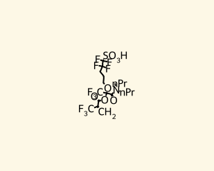 C=C(C(=O)OC(OCCCC(F)(F)C(F)(F)S(=O)(=O)O)(C(=O)N(CCC)CCC)C(F)(F)F)C(F)(F)F